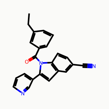 CCc1cccc(C(=O)n2c(-c3cccnc3)cc3cc(C#N)ccc32)c1